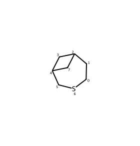 C1CC2CC(CS1)C2